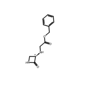 O=C(CN[C@@H]1CNC1=O)OCc1ccccc1